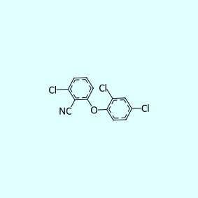 N#Cc1c(Cl)cccc1Oc1ccc(Cl)cc1Cl